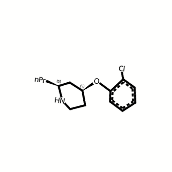 CCC[C@H]1C[C@@H](Oc2ccccc2Cl)CCN1